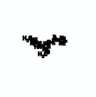 COc1nc(NCc2cnn(C)c2)cc(OCC2CC2c2ccccn2)n1